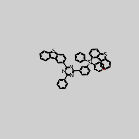 c1ccc(-c2nc(-c3cccc([Si](c4ccccc4)(c4ccccc4)c4cccc5sc6ccccc6c45)c3)nc(-c3ccc4sc5ccccc5c4c3)n2)cc1